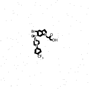 O=C(CO)Cn1ccc2cc(Br)c([S+]([O-])N3CCN(c4ccc(C(F)(F)F)cc4)CC3)cc21